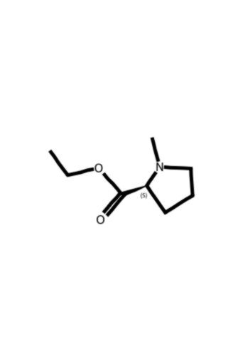 CCOC(=O)[C@@H]1CCCN1C